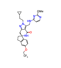 COc1nccc(NCc2c3c(nn2CCC2CC2)C[C@@]2(CCc4cc(OCC(F)(F)F)ccc42)NC3=O)n1